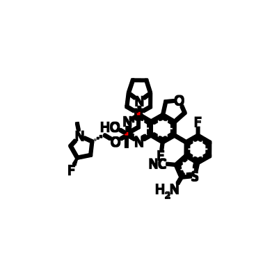 CC(O)CN1CC2CCC(C1)N2c1nc(OC[C@@H]2C[C@@H](F)CN2C)nc2c(F)c(-c3c(F)ccc4sc(N)c(C#N)c34)c3c(c12)COC3